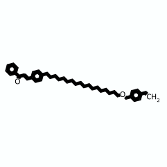 C=Cc1ccc(COCCCCCCCCCCCCCCCCCCc2ccc(C=CC(=O)c3ccccc3)cc2)cc1